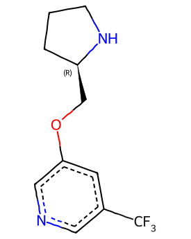 FC(F)(F)c1cncc(OC[C@H]2CCCN2)c1